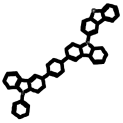 C1=CC(N2C3=C(C=CCC3)C3=CC(C4=CCC(C5=CC6C7C=CCCC7N(C7=CC8c9ccccc9OC8C=C7)C6CC5)CC4)CCC32)=CCC1